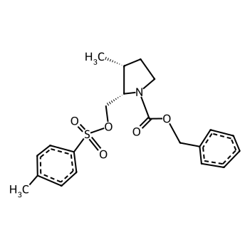 Cc1ccc(S(=O)(=O)OC[C@@H]2[C@H](C)CCN2C(=O)OCc2ccccc2)cc1